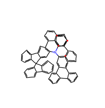 c1ccc(-c2ccccc2N(c2ccc3c4ccccc4c4ccccc4c3c2)c2cc3c(cc2-c2cccc4ccccc24)-c2ccccc2C32c3ccccc3-c3ccccc32)cc1